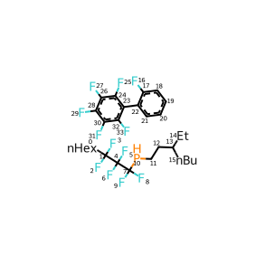 CCCCCCC(F)(F)C(F)(F)C(F)(F)PCCC(CC)CCCC.Fc1ccccc1-c1c(F)c(F)c(F)c(F)c1F